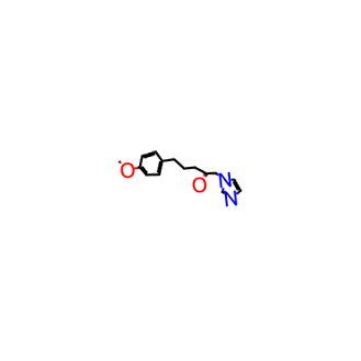 COc1ccc(CCCC(=O)Cn2ccnc2)cc1